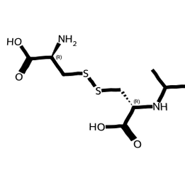 CC(C)N[C@@H](CSSC[C@H](N)C(=O)O)C(=O)O